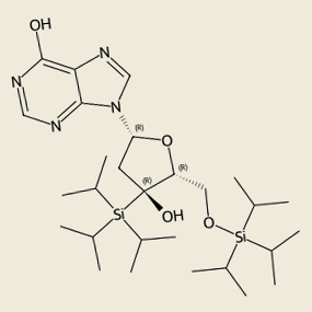 CC(C)[Si](OC[C@H]1O[C@@H](n2cnc3c(O)ncnc32)C[C@@]1(O)[Si](C(C)C)(C(C)C)C(C)C)(C(C)C)C(C)C